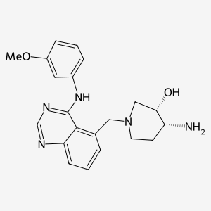 COc1cccc(Nc2ncnc3cccc(CN4CC[C@@H](N)[C@@H](O)C4)c23)c1